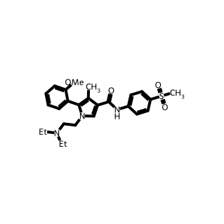 CCN(CC)CCn1cc(C(=O)Nc2ccc(S(C)(=O)=O)cc2)c(C)c1-c1ccccc1OC